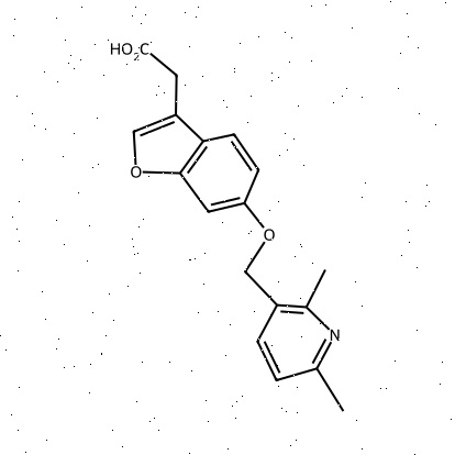 Cc1ccc(COc2ccc3c(CC(=O)O)coc3c2)c(C)n1